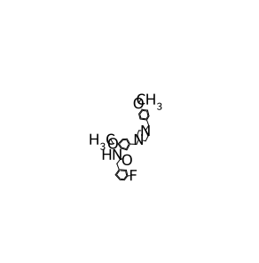 COc1ccc(CN2CCN(Cc3ccc(OC)c(NC(=O)Cc4cccc(F)c4)c3)CC2)cc1